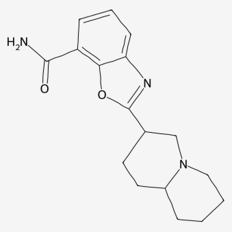 NC(=O)c1cccc2nc(C3CCC4CCCCN4C3)oc12